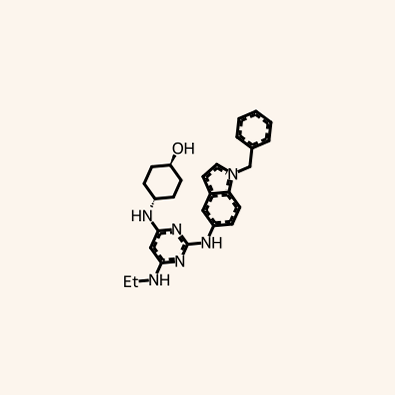 CCNc1cc(N[C@H]2CC[C@H](O)CC2)nc(Nc2ccc3c(ccn3Cc3ccccc3)c2)n1